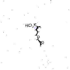 C/C(=C\CCOCC1CO1)C(=O)O